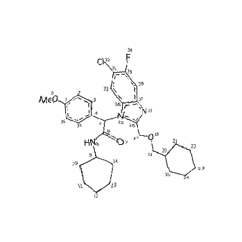 COc1ccc(C(C(=O)NC2CCCCC2)n2c(COCC3CCCCC3)nc3cc(F)c(Cl)cc32)cc1